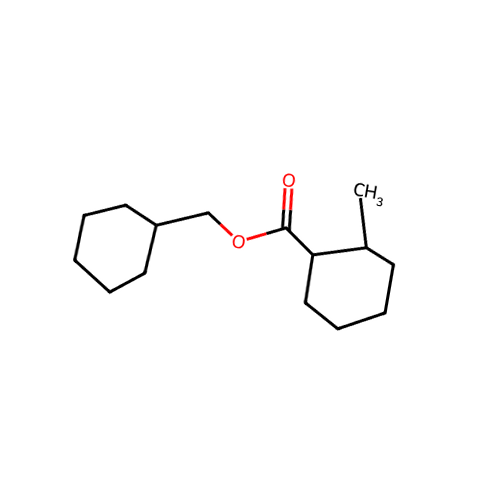 CC1CCCCC1C(=O)OCC1CCCCC1